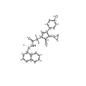 C[C@H](NC(=O)C(C)(C)n1nc(-c2ccc(Cl)cc2)n(C2CC2)c1=O)c1cccc2ccccc12